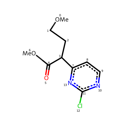 COCCC(C(=O)OC)c1ccnc(Cl)n1